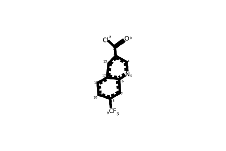 O=C(Cl)c1cnc2cc(C(F)(F)F)ccc2c1